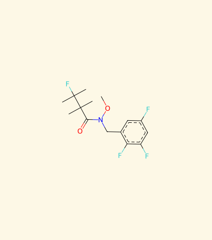 CON(Cc1cc(F)cc(F)c1F)C(=O)C(C)(C)C(C)(C)F